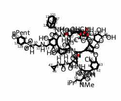 CCCCCOc1ccc(S(=O)(=O)NCCNCc2c(O)cc3c(c2O)-c2cc(ccc2O)[C@H]2NC(=O)[C@@H]4NC(=O)[C@H](CC(=O)NC(=O)NC5CC5)NC(=O)[C@H](NC(=O)[C@@H](CC(C)C)NC)[C@H](O)c5ccc(c(Cl)c5)Oc5cc4cc(c5O[C@@H]4O[C@H](CO)[C@@H](O)[C@H](O)[C@H]4O[C@H]4C[C@](C)(N)[C@H](O)[C@H](C)O4)Oc4ccc(cc4Cl)[C@@H](O)[C@H](NC2=O)C(=O)N[C@@H]3C(=O)NC2C3CC4CC(C3)CC2C4)cc1